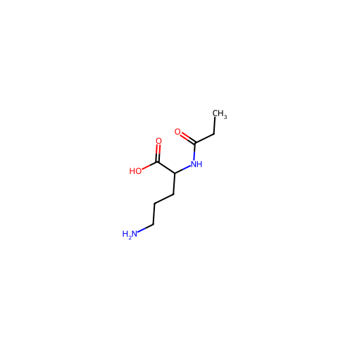 CCC(=O)NC(CCCN)C(=O)O